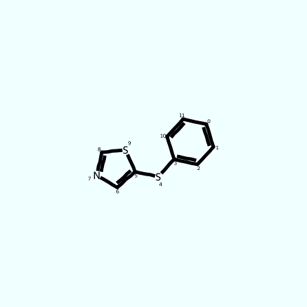 c1ccc(Sc2cncs2)cc1